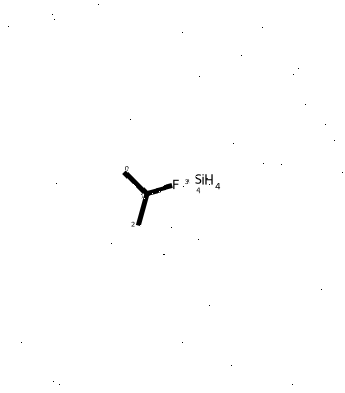 CC(C)F.[SiH4]